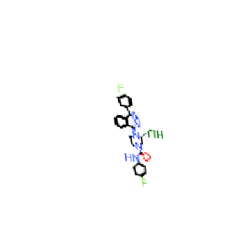 C[C@@H]1CN(C(=O)Nc2ccc(F)cc2)CCN1c1nnc(-c2ccc(F)cc2)c2ccccc12.Cl